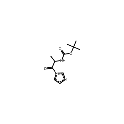 CC(NC(=O)OC(C)(C)C)C(=O)n1ccnc1